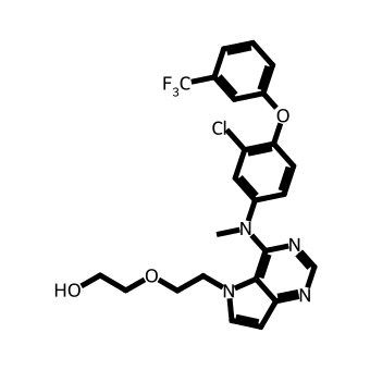 CN(c1ccc(Oc2cccc(C(F)(F)F)c2)c(Cl)c1)c1ncnc2ccn(CCOCCO)c12